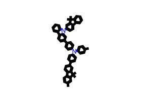 Cc1ccc(N(c2ccc(-c3ccc4c(c3)C(C)(C)c3cc(C)ccc3-4)cc2)c2ccc(-c3ccc4c5ccccc5n(-c5ccc6c(c5)C(C)(C)c5ccccc5-6)c4c3)cc2)cc1